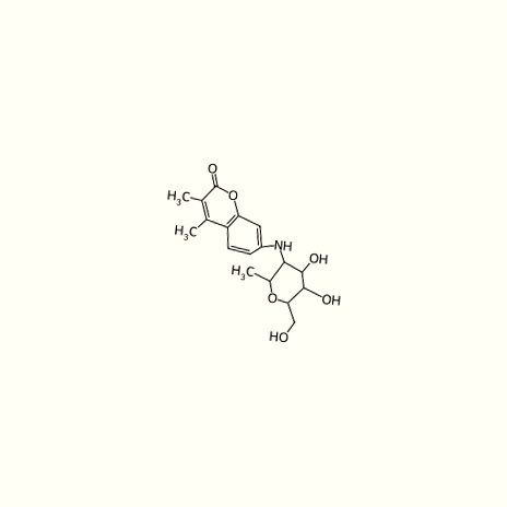 Cc1c(C)c2ccc(NC3C(C)OC(CO)C(O)C3O)cc2oc1=O